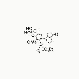 CCOC(=O)C1(COc2c(-c3cccc4c3CCC4=O)ccc(OC(O)(O)O)c2OC)CC1